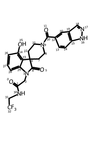 O=C(CN1C(=O)C2(CCN(C(=O)c3ccc4[nH]ncc4c3)CC2)c2c(O)cccc21)NCC(F)(F)F